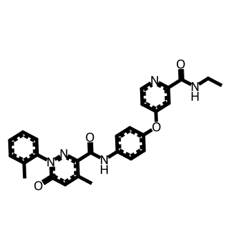 CCNC(=O)c1cc(Oc2ccc(NC(=O)c3nn(-c4ccccc4C)c(=O)cc3C)cc2)ccn1